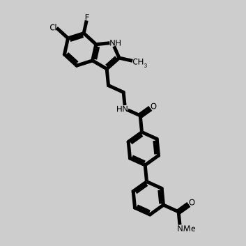 CNC(=O)c1cccc(-c2ccc(C(=O)NCCc3c(C)[nH]c4c(F)c(Cl)ccc34)cc2)c1